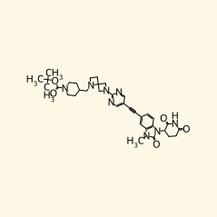 Cn1c(=O)n(C2CCC(=O)NC2=O)c2ccc(C#Cc3cnc(N4CC5(CCN5CC5CCN(C(=O)OC(C)(C)C)CC5)C4)nc3)cc21